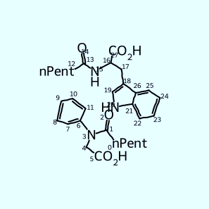 CCCCCC(=O)N(CC(=O)O)c1ccccc1.CCCCCC(=O)NC(Cc1c[nH]c2ccccc12)C(=O)O